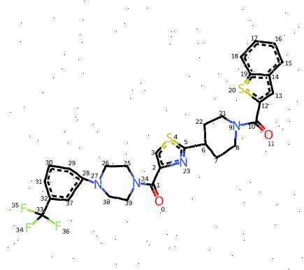 O=C(c1csc(C2CCN(C(=O)c3cc4ccccc4s3)CC2)n1)N1CCN(c2cccc(C(F)(F)F)c2)CC1